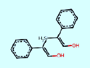 OC=C([SiH2]C(=CO)c1ccccc1)c1ccccc1